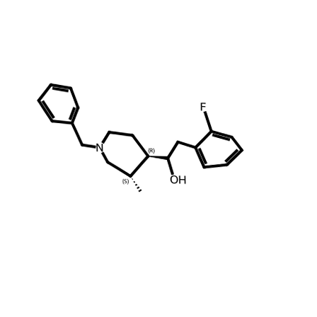 C[C@@H]1CN(Cc2ccccc2)CC[C@H]1C(O)Cc1ccccc1F